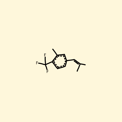 CC(C)=Cc1ccc(C(F)(F)F)c(C)c1